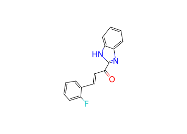 O=C(C=Cc1ccccc1F)c1nc2ccccc2[nH]1